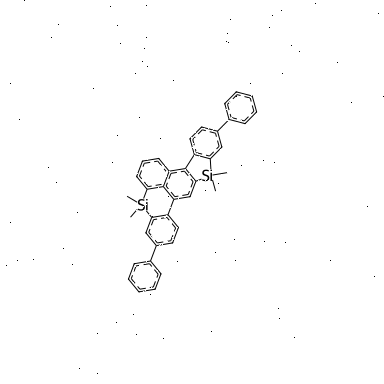 C[Si]1(C)c2cc(-c3ccccc3)ccc2-c2c1cc1c3c(cccc23)[Si](C)(C)c2cc(-c3ccccc3)ccc2-1